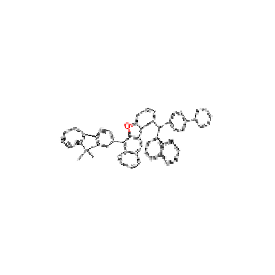 CC1(C)c2ccccc2-c2ccc(-c3c4ccccc4cc4c3oc3cccc(C(c5ccc(-c6ccccc6)cc5)c5cccc6ccccc56)c34)cc21